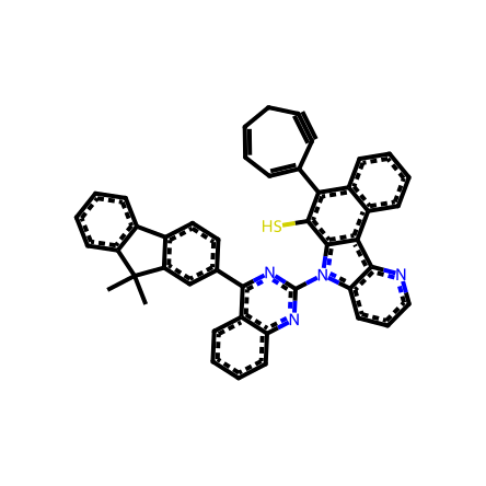 CC1(C)c2ccccc2-c2ccc(-c3nc(-n4c5cccnc5c5c6ccccc6c(C6=CC=CCC#C6)c(S)c54)nc4ccccc34)cc21